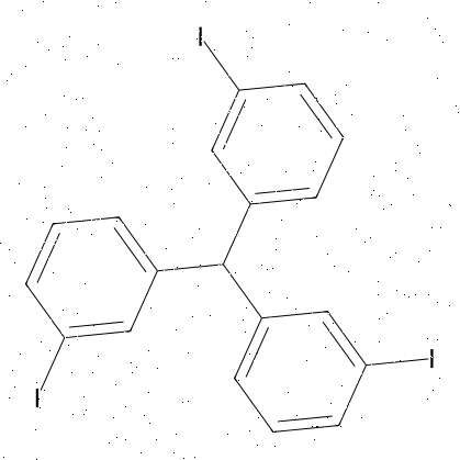 Ic1cccc(C(c2cccc(I)c2)c2cccc(I)c2)c1